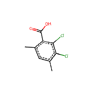 Cc1cc(C)c(C(=O)O)c(Cl)c1Cl